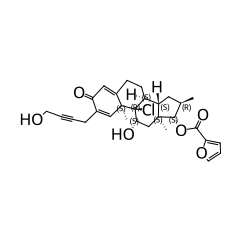 C[C@@H]1C[C@H]2[C@@H]3CCC4=CC(=O)C(CC#CCO)=C[C@]4(C)[C@@]3(Cl)[C@@H](O)C[C@]2(C)[C@H]1OC(=O)c1ccco1